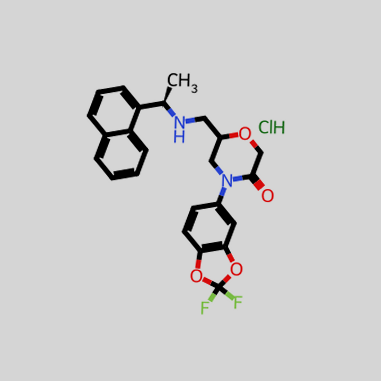 C[C@@H](NCC1CN(c2ccc3c(c2)OC(F)(F)O3)C(=O)CO1)c1cccc2ccccc12.Cl